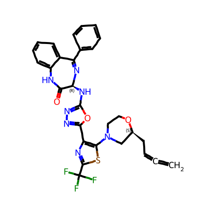 C=C=CC[C@H]1CN(c2sc(C(F)(F)F)nc2-c2nnc(N[C@@H]3N=C(c4ccccc4)c4ccccc4NC3=O)o2)CCO1